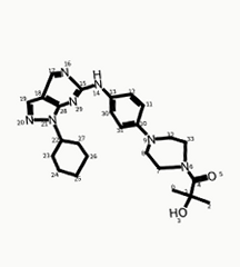 CC(C)(O)C(=O)N1CCN(c2ccc(Nc3ncc4cnn(C5CCCCC5)c4n3)cc2)CC1